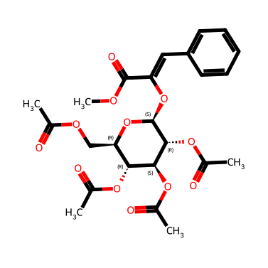 COC(=O)C(=Cc1ccccc1)O[C@@H]1O[C@H](COC(C)=O)[C@@H](OC(C)=O)[C@H](OC(C)=O)[C@H]1OC(C)=O